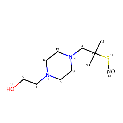 CC(C)(CN1CCN(CCO)CC1)SN=O